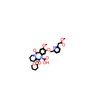 COC(=O)Cc1cccc(COc2cc3c(cc2OC)C(=O)N2CCCC[C@H]2C(OC2CCCCO2)N3C(=O)O)n1